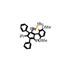 COc1ccc(OC)c(P(C(C)(C)C)C(C)(C)C)c1-c1c(C(C)C)c(-c2ccccc2)c(C(C)C)c(-c2ccccc2)c1C(C)C